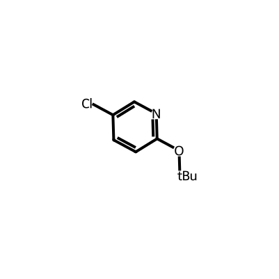 CC(C)(C)Oc1ccc(Cl)cn1